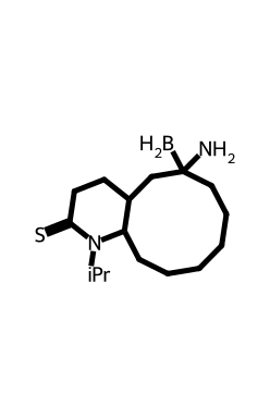 BC1(N)CCCCCCC2C(CCC(=S)N2C(C)C)C1